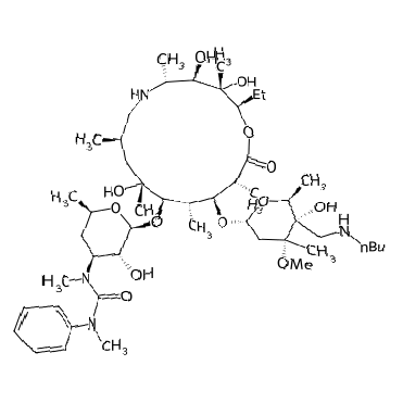 CCCCNC[C@]1(O)[C@H](C)O[C@@H](O[C@H]2[C@H](C)[C@@H](O[C@@H]3O[C@H](C)C[C@H](N(C)C(=O)N(C)c4ccccc4)[C@H]3O)[C@](C)(O)C[C@@H](C)CN[C@H](C)[C@@H](O)[C@](C)(O)[C@@H](CC)OC(=O)[C@@H]2C)C[C@@]1(C)OC